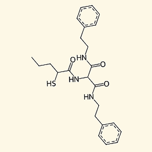 CCCC(S)C(=O)NC(C(=O)NCCc1ccccc1)C(=O)NCCc1ccccc1